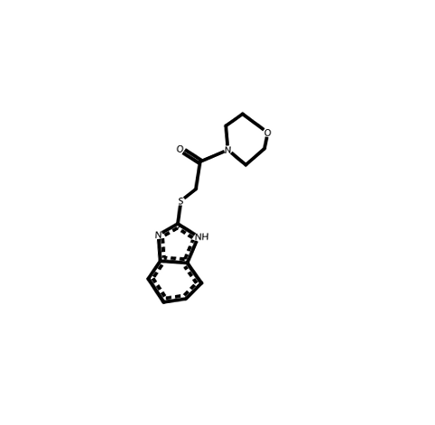 O=C(CSc1nc2ccccc2[nH]1)N1CCOCC1